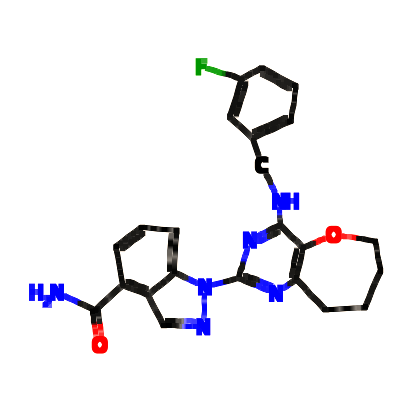 NC(=O)c1cccc2c1cnn2-c1nc2c(c(NCc3cccc(F)c3)n1)OCCCC2